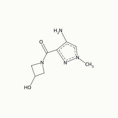 Cn1cc(N)c(C(=O)N2CC(O)C2)n1